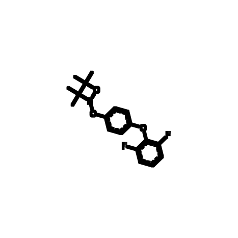 CC1(C)OB(Oc2ccc(Oc3c(F)cccc3F)cc2)C1(C)C